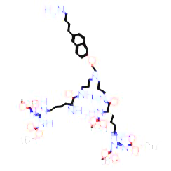 CC(C)(C)OC(=O)/N=C(\NCCCC[C@@H](NC(=O)OC(C)(C)C)C(=O)NCCCN(CCCNC(=O)[C@@](C)(N)CCCCN/C(=N\C(=O)OC(C)(C)C)NC(=O)OC(C)(C)C)CCOc1ccc2cc(CCCCN)ccc2c1)NC(=O)OC(C)(C)C